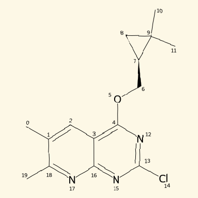 Cc1cc2c(OC[C@H]3CC3(C)C)nc(Cl)nc2nc1C